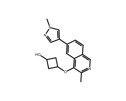 Cc1ncc2ccc(-c3cnn(C)c3)cc2c1OC1CC(O)C1